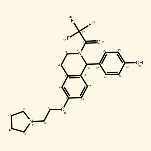 O=C(N1CCc2cc(OCCN3CCCC3)ccc2C1c1ccc(O)cc1)C(F)(F)F